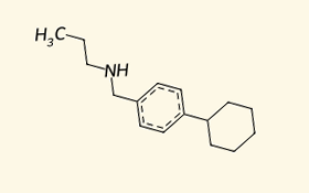 CCCNCc1ccc(C2CCCCC2)cc1